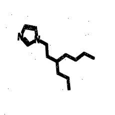 CCCCC(CCC)CCn1ccnc1